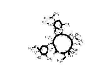 CC[C@H]1OC(=O)[C@H](C)[C@@H](O[C@H]2C[C@@](C)(OC)[C@@H](O)[C@H](C)O2)[C@H](C)[C@@H](O[C@@H]2O[C@H](C)C[C@H](N(C)C)[C@H]2OC)[C@@](C)(OC)C[C@@H](C)[C@H](N(C)C)[C@H](C)[C@@H](O)[C@]1(C)O